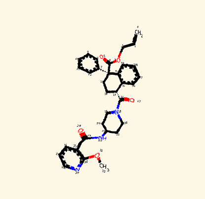 C=CCOC(=O)[C@]1(c2ccccc2)CC[C@@H](C(=O)N2CCC(NC(=O)c3cccnc3OC)CC2)c2ccccc21